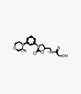 O=C(CO)NCC1CN(c2cccc(N3CCOC[C@@H]3F)c2)C(=O)O1